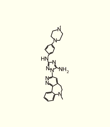 CN1CCN(c2ccc(Nc3nc(N)n(-c4cc5c(nn4)-c4ccccc4N(C)CC5)n3)cc2)CC1